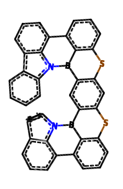 c1cc2c3c(c1)-c1cccc4c5ccccc5n(c14)B3c1cc3c(cc1S2)Sc1cccc2c1B3n1c3ccccc3c3cccc-2c31